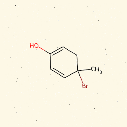 CC1(Br)C=CC(O)=CC1